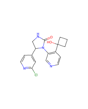 O=C1NCC(c2ccnc(Cl)c2)N1c1cnccc1C1(O)CCC1